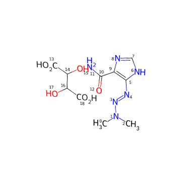 CN(C)N=Nc1[nH]cnc1C(N)=O.O=C(O)C(O)C(O)C(=O)O